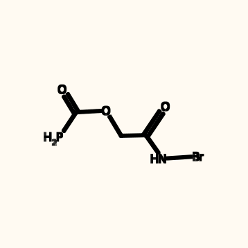 O=C(COC(=O)P)NBr